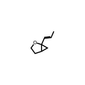 CC=CC12CC1CCO2